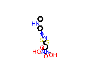 O=C1/C(=C\c2cc3sc(/N=N/c4ccc(Nc5ccccc5)cc4)nc3s2)N(CO)C(=O)N1CO